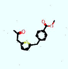 COC(=O)c1ccc(Cc2ccc(CC(C)=O)s2)cc1